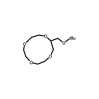 CC(C)(C)OCC1COCCOCCOCCO1